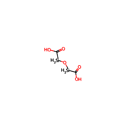 O=C(O)[SiH2]O[SiH2]C(=O)O